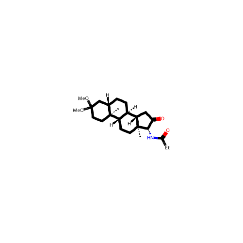 CCC(=O)N[C@H]1C(=O)C[C@H]2[C@@H]3CC[C@H]4CC(OC)(OC)CC[C@]4(C)[C@H]3CC[C@]12C